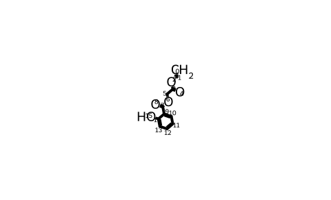 C=COC(=O)COC(=O)c1ccccc1O